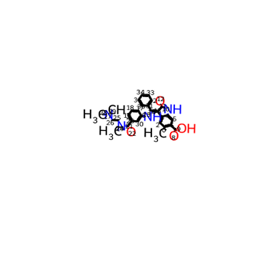 Cc1cc2c(cc1C(=O)O)NC(=O)C2=C(Nc1cccc(C(=O)N(C)CCN(C)C)c1)c1ccccc1